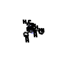 C=C(Br)/C=N\N(C)/C(=C\C(=N/C)C1CCCNC1)NCc1cccnc1